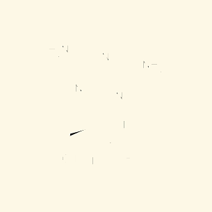 CC[C@@H](c1nc(N)nc(N)n1)C(F)(F)F